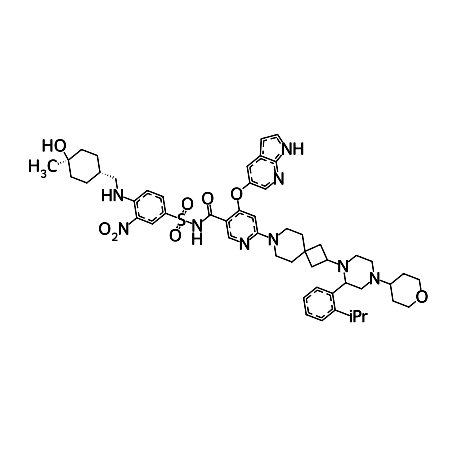 CC(C)c1ccccc1C1CN(C2CCOCC2)CCN1C1CC2(CCN(c3cc(Oc4cnc5[nH]ccc5c4)c(C(=O)NS(=O)(=O)c4ccc(NC[C@H]5CC[C@](C)(O)CC5)c([N+](=O)[O-])c4)cn3)CC2)C1